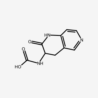 O=C(O)NC1Cc2cnccc2NC1=O